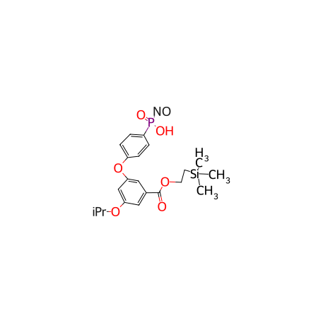 CC(C)Oc1cc(Oc2ccc(P(=O)(O)N=O)cc2)cc(C(=O)OCC[Si](C)(C)C)c1